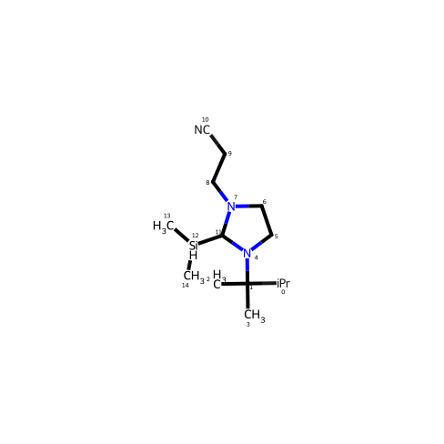 CC(C)C(C)(C)N1CCN(CCC#N)C1[SiH](C)C